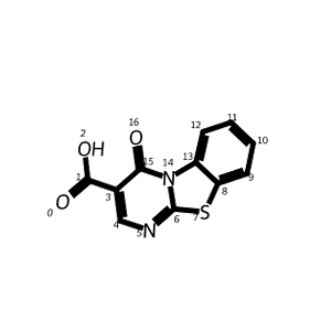 O=C(O)c1cnc2sc3ccccc3n2c1=O